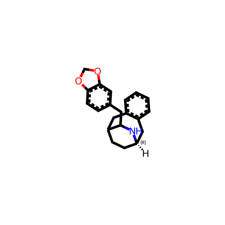 c1ccc2c(c1)CC1CC[C@H](C2)NC1Cc1ccc2c(c1)OCO2